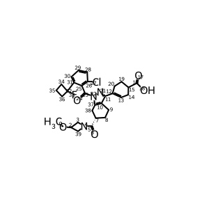 COC1CN(C(=O)[C@H]2CCc3c(C4=CCC(C(=O)O)CC4)nn(C(=O)c4c(Cl)cccc4C4(F)CCC4)c3C2)C1